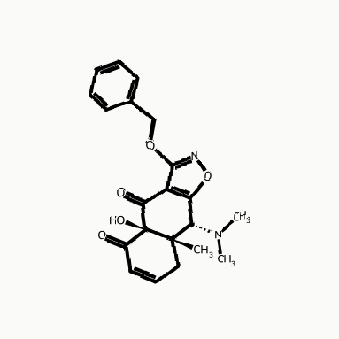 CN(C)[C@H]1c2onc(OCc3ccccc3)c2C(=O)[C@@]2(O)C(=O)C=CC[C@@]12C